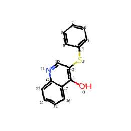 Oc1c(Sc2ccccc2)cnc2ccccc12